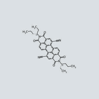 CCC[C@H](CC)N1C(=O)c2ccc3c4c(C#N)cc5c6c(ccc(c7c(C#N)cc(c2c37)C1=O)c64)C(=O)N([C@@H](CC)CCC)C5=O